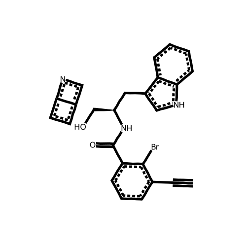 C#Cc1cccc(C(=O)N[C@@H](CO)Cc2c[nH]c3ccccc23)c1Br.c1cc2ncc1-2